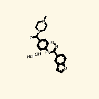 CCN=C(Nc1ccc(C(=O)N2CCN(C)CC2)cc1)c1ccc2occc2c1.Cl.Cl